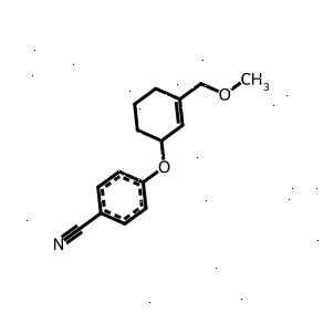 COCC1=CC(Oc2ccc(C#N)cc2)CCC1